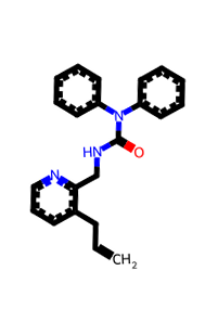 C=CCc1cccnc1CNC(=O)N(c1ccccc1)c1ccccc1